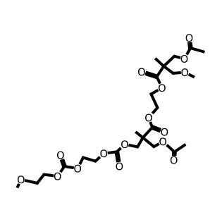 COCCOC(=O)OCCOC(=O)OCC(C)(COC(C)=O)C(=O)OCCOC(=O)C(C)(COC)COC(C)=O